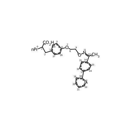 CCCC(Cc1ccc(OCCON=C(C)c2ccc(-c3ccccn3)cc2)cc1)C(=O)O